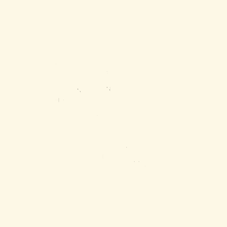 Cn1c(C(F)(F)F)cc(=O)n(-c2cc(SC(C)(C)C(=O)O)c(Cl)cc2F)c1=O